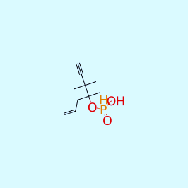 C#CC(C)(C)C(C)(CC=C)O[PH](=O)O